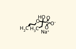 C=CCOC(O)(CC)S(=O)(=O)[O-].[Na+]